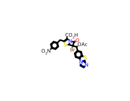 CC(=O)OC(c1ccc2c(c1)sc1nccn12)C1(Br)C(=O)N2C(C(=O)O)=C(Cc3ccc([N+](=O)[O-])cc3)SC21